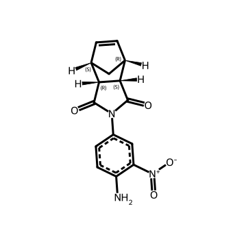 Nc1ccc(N2C(=O)[C@@H]3[C@H](C2=O)[C@@H]2C=C[C@H]3C2)cc1[N+](=O)[O-]